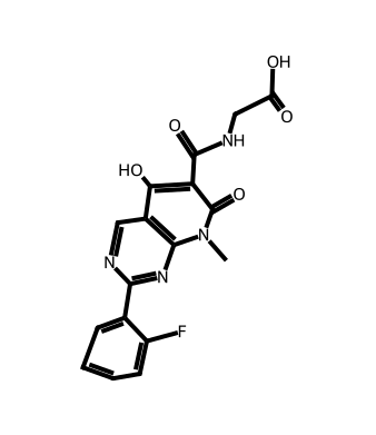 Cn1c(=O)c(C(=O)NCC(=O)O)c(O)c2cnc(-c3ccccc3F)nc21